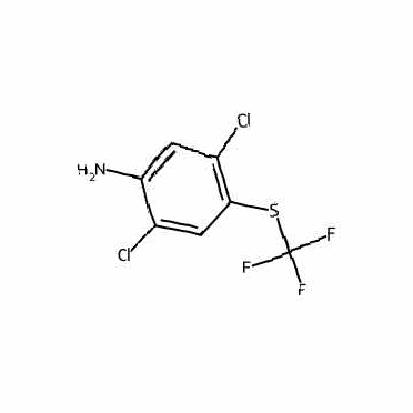 Nc1cc(Cl)c(SC(F)(F)F)cc1Cl